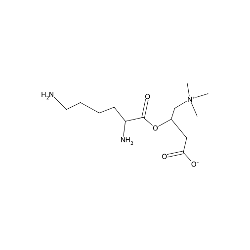 C[N+](C)(C)CC(CC(=O)[O-])OC(=O)C(N)CCCCN